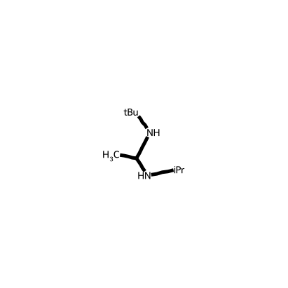 CC(C)NC(C)NC(C)(C)C